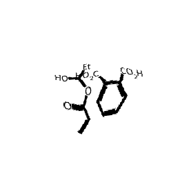 C=CC(=O)OC(O)CC.O=C(O)c1ccccc1C(=O)O